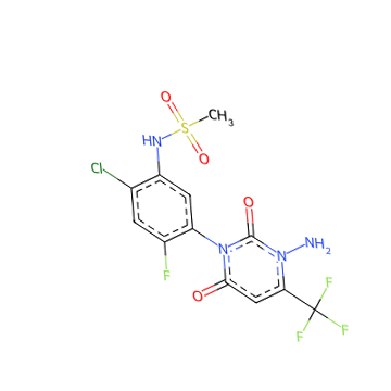 CS(=O)(=O)Nc1cc(-n2c(=O)cc(C(F)(F)F)n(N)c2=O)c(F)cc1Cl